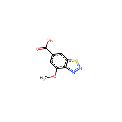 COc1cc(C(=O)O)cc2snnc12